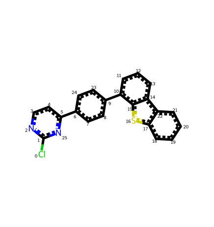 Clc1nccc(-c2ccc(-c3cccc4c3sc3ccccc34)cc2)n1